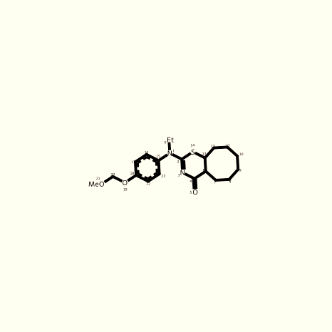 CCN(C1=NC(=O)C2CCCCCCC2S1)c1ccc(OCOC)cc1